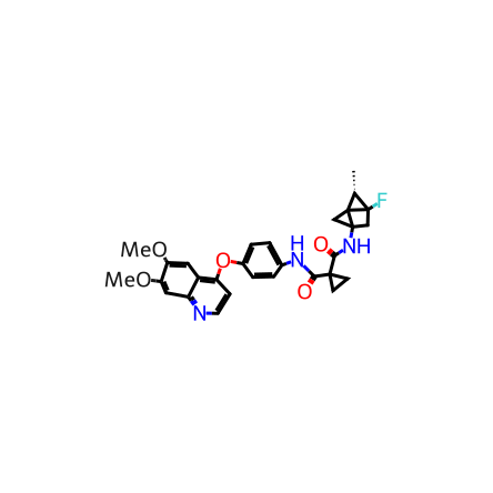 COc1cc2nccc(Oc3ccc(NC(=O)C4(C(=O)NC56CC7(F)[C@@H](C)C57C6)CC4)cc3)c2cc1OC